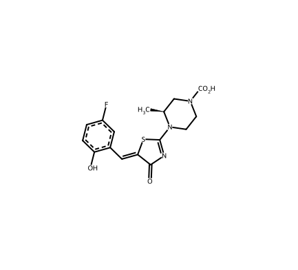 C[C@H]1CN(C(=O)O)CCN1C1=NC(=O)C(=Cc2cc(F)ccc2O)S1